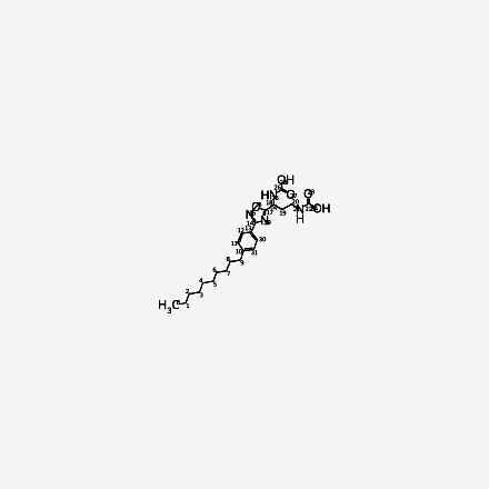 CCCCCCCCCCc1ccc(-c2noc([C@H](CCNC(=O)O)NC(=O)O)n2)cc1